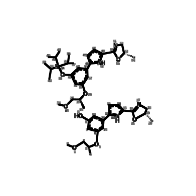 COC[C@H](C)Oc1cc(O)cc(-c2ccc(C3=NC[C@H](C)O3)[nH]2)c1.COC[C@H](C)Oc1cc(O[Si](C(C)C)(C(C)C)C(C)C)cc(-c2ccc(C3=NC[C@H](C)O3)[nH]2)c1